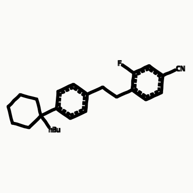 CCCCC1(c2ccc(CCc3ccc(C#N)cc3F)cc2)CCCCC1